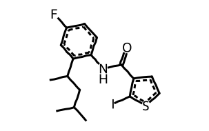 CC(C)CC(C)c1cc(F)ccc1NC(=O)c1ccsc1I